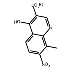 CCOC(=O)c1cnc2c(C)c([N+](=O)[O-])ccc2c1O